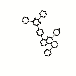 c1ccc(-c2cc(-c3ccc(-c4cccc5c4nc(-c4ccncc4)c4cccc(-c6ccccc6)c45)cc3)nc(-c3ccccc3)n2)cc1